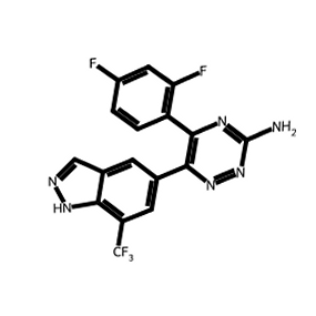 Nc1nnc(-c2cc(C(F)(F)F)c3[nH]ncc3c2)c(-c2ccc(F)cc2F)n1